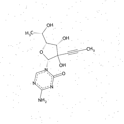 CC#CC1(O)[C@@H](O)[C@@H]([C@H](C)O)O[C@H]1n1cnc(N)nc1=O